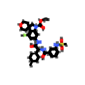 CC(C)(C)OC(=O)N1CC2(CCOCC2)c2c(F)cc(NC(=O)[C@@H](NC(=O)c3cccc(NS(C)(=O)=O)c3)[C@H]3CC[C@H](C)CC3)cc21